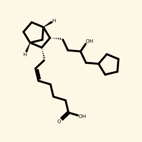 O=C(O)CCC/C=C\C[C@@H]1[C@@H]2CC[C@@H](C2)[C@@H]1CCC(O)CC1CCCC1